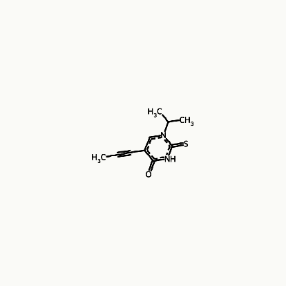 CC#Cc1cn(C(C)C)c(=S)[nH]c1=O